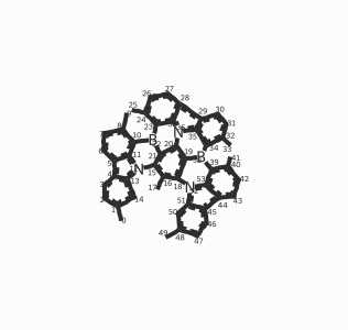 Cc1ccc2c3ccc(C)c4c3n(c2c1)-c1c(C)c2c3c5c1B4c1c(C)ccc4c6ccc(C)c(c6n-5c14)B3c1c(C)ccc3c4ccc(C)cc4n-2c13